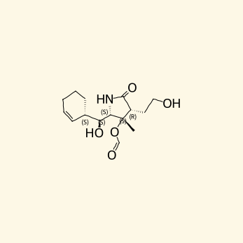 C[C@]1(OC=O)[C@@H](CCO)C(=O)N[C@H]1[C@@H](O)[C@@H]1C=CCCC1